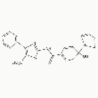 CCOC(=O)c1sc(NC(=O)C2=CCC(O)(n3cccc3)C=C2)nc1-c1ccccc1